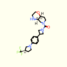 O=C(N1CC(c2ccc(N3CC[C@@H](C(F)(F)F)C3)cc2)C1)N1CC[C@@H]2OCCN[C@@H]2C1